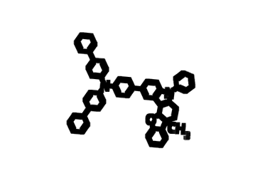 CC12C=Cc3c(c4cc(-c5ccc(N(c6ccc(-c7ccccc7)cc6)c6ccc(-c7ccccc7)cc6)cc5)ccc4n3-c3ccccc3)C1Oc1ccccc12